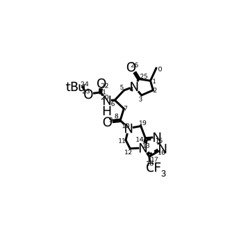 CC1CCN(CC(CC(=O)N2CCn3c(nnc3C(F)(F)F)C2)NC(=O)OC(C)(C)C)C1=O